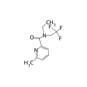 CCN(CC(F)(F)F)C(=O)c1cccc(C)n1